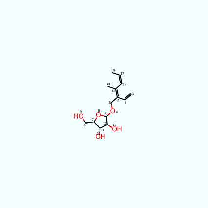 C=C/C(CO[C@@H]1O[C@H](CO)[C@@H](O)[C@@H]1O)=C(C)\C=C/C